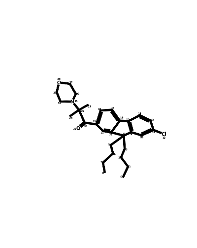 CCCCC1(CCCC)c2cc(Cl)ccc2-c2ccc(C(=O)C(C)(C)N3CCOCC3)cc21